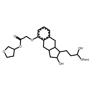 CCCCCC(O)CCC1C(O)CC2Cc3c(cccc3OCC(=O)OC3CCOC3)CC21